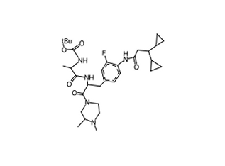 CC(NC(=O)OC(C)(C)C)C(=O)NC(Cc1ccc(NC(=O)CC(C2CC2)C2CC2)c(F)c1)C(=O)N1CCN(C)C(C)C1